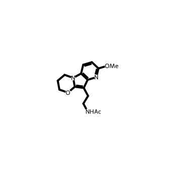 COc1ccc2c(n1)c(CCNC(C)=O)c1n2CCCO1